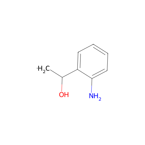 [CH2]C(O)c1ccccc1N